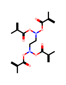 C=C(C)C(=O)ON(CCN(OC(=O)C(=C)C)OC(=O)C(=C)C)OC(=O)C(=C)C